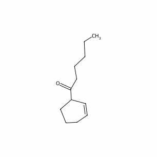 CCCCCC(=O)C1C=CCCC1